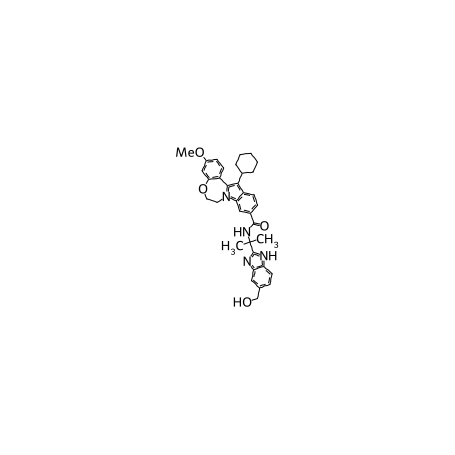 COc1ccc2c(c1)OCCn1c-2c(C2CCCCC2)c2ccc(C(=O)NC(C)(C)c3nc4cc(CO)ccc4[nH]3)cc21